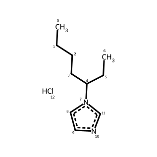 CCCCC(CC)n1ccnc1.Cl